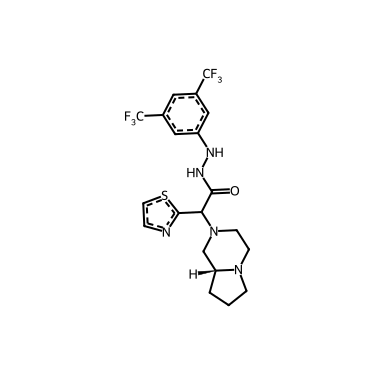 O=C(NNc1cc(C(F)(F)F)cc(C(F)(F)F)c1)C(c1nccs1)N1CCN2CCC[C@@H]2C1